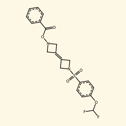 O=C(ON1CC(=C2CN(S(=O)(=O)c3ccc(OC(F)F)cc3)C2)C1)c1ccccc1